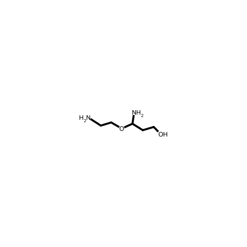 NCCOC(N)CCO